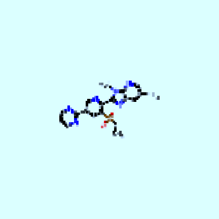 CCS(=O)(=O)c1cc(-c2ncccn2)cnc1-c1nc2cc(C)cnc2n1C